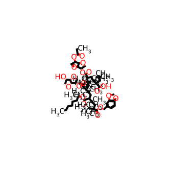 CCCCCCC(C)OC(=O)C(CC(C)(C)C(C)(CC(C)(C)C(C)(CC(C)(C)C(C)(CC(C)(C)C)C(=O)O)C(=O)OC1COC2C(OC(=O)CC)COC12)C(=O)OC1COC2C(O)COC12)C(C)(C)CC(C)(C(=O)OCc1ccc2c(c1)OCO2)C(C)(C)C